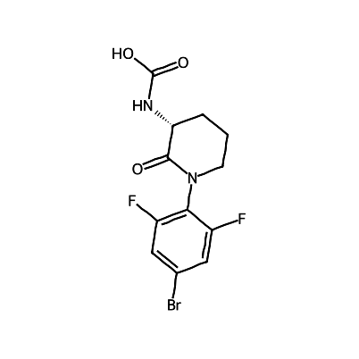 O=C(O)N[C@@H]1CCCN(c2c(F)cc(Br)cc2F)C1=O